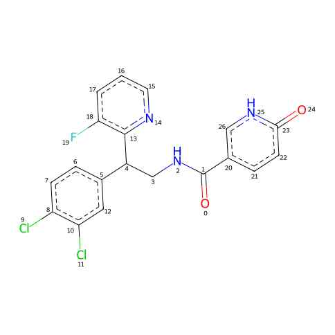 O=C(NCC(c1ccc(Cl)c(Cl)c1)c1ncccc1F)c1ccc(=O)[nH]c1